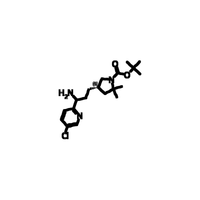 CC(C)(C)OC(=O)N1C[C@@H](CCC(N)c2ccc(Cl)cn2)CC1(C)C